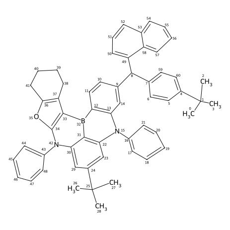 CC(C)(C)c1ccc(C(c2ccc3c(c2)N(c2ccccc2)c2cc(C(C)(C)C)cc4c2B3c2c(oc3c2CCCC3)N4c2ccccc2)c2cccc3ccccc23)cc1